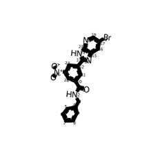 O=C(NCc1ccccc1)c1cc(-c2nc3cc(Br)cnc3[nH]2)cc([N+](=O)[O-])c1